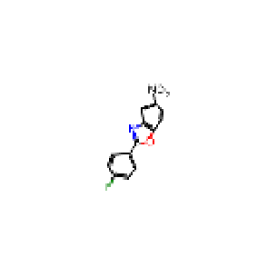 O=[N+]([O-])c1ccc2oc(-c3ccc(F)cc3)nc2c1